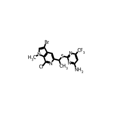 CC(Sc1nc(N)cc(C(F)(F)F)n1)c1cc2c(Br)cn(C)c2c(Cl)n1